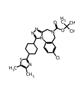 Cc1nc(C2CCC(c3nnc4n3-c3ccc(Cl)cc3CN(C(=O)OC(C)(C)C)C4)CC2)sc1C